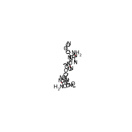 C=CC(=O)N1CCC[C@@H](n2nc(-c3ccc(Oc4ccnc(C5CC[C@@H](n6nc(-c7ccc(Oc8ccncc8)cc7)c7c(N)ncc(C#N)c76)CN5C(=O)C=C)c4)cc3)c3c(N)ncc(C(N)=O)c32)C1